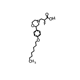 CCCCCCCCOc1ccc(C2CN(CC(F)C(=O)O)CCO2)cc1